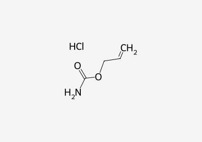 C=CCOC(N)=O.Cl